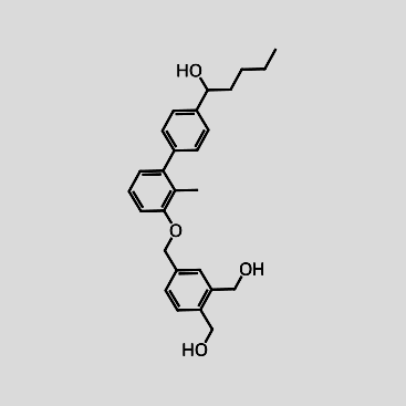 CCCCC(O)c1ccc(-c2cccc(OCc3ccc(CO)c(CO)c3)c2C)cc1